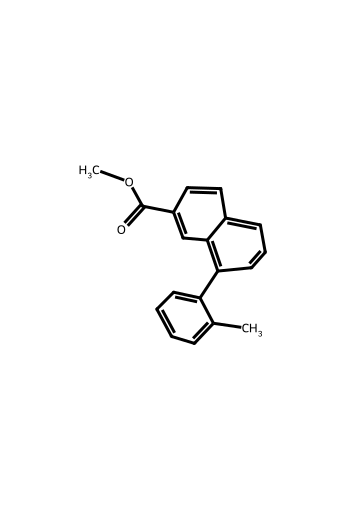 COC(=O)c1ccc2cccc(-c3ccccc3C)c2c1